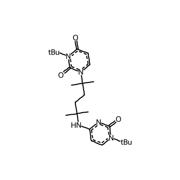 CC(C)(CCC(C)(C)n1ccc(=O)n(C(C)(C)C)c1=O)Nc1ccn(C(C)(C)C)c(=O)n1